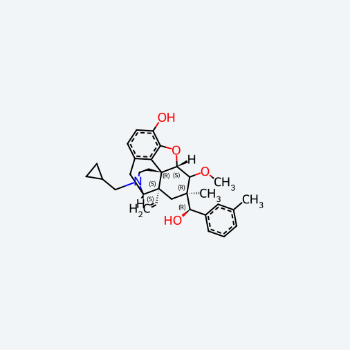 C=C[C@@]12C[C@](C)([C@H](O)c3cccc(C)c3)C(OC)[C@H]3Oc4c(O)ccc5c4[C@]31CCN(CC1CC1)[C@H]2C5